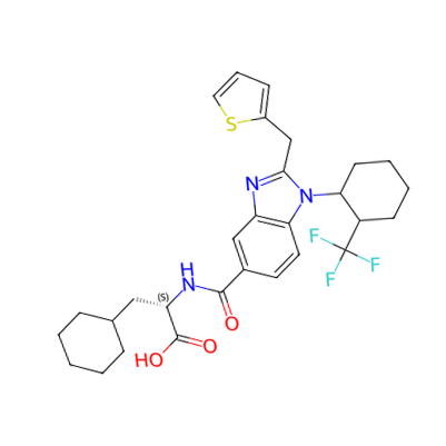 O=C(N[C@@H](CC1CCCCC1)C(=O)O)c1ccc2c(c1)nc(Cc1cccs1)n2C1CCCCC1C(F)(F)F